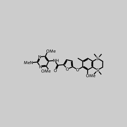 CNc1nc(OC)c(NC(=O)c2ccc(Oc3c(C)cc4c(c3OC)[Si](C)(C)CC[Si]4(C)C)o2)c(OC)n1